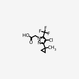 CC1(c2nn(CC(=O)O)c(C(F)(F)F)c2Cl)CC1